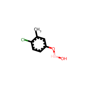 Cc1cc(OBO)ccc1Cl